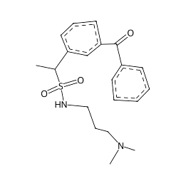 CC(c1cccc(C(=O)c2ccccc2)c1)S(=O)(=O)NCCCN(C)C